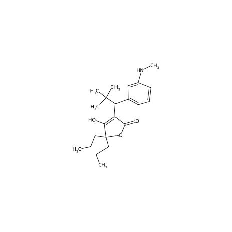 CCCC1(CCC)OC(=O)C(C(c2cccc(NC)c2)C(C)(C)C)=C1O